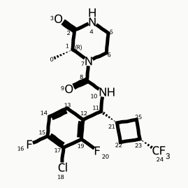 C[C@@H]1C(=O)NCCN1C(=O)NC(c1ccc(F)c(Cl)c1F)[C@H]1C[C@@H](C(F)(F)F)C1